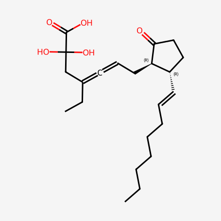 CCCCCCC=C[C@H]1CCC(=O)[C@@H]1CC=C=C(CC)CC(O)(O)C(=O)O